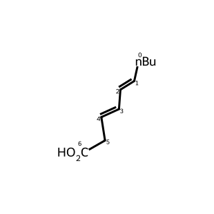 CCCCC=CC=CCC(=O)O